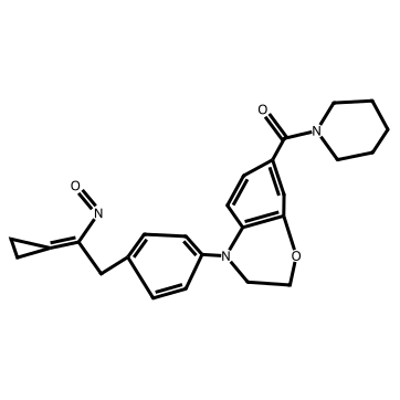 O=NC(Cc1ccc(N2CCOc3cc(C(=O)N4CCCCC4)ccc32)cc1)=C1CC1